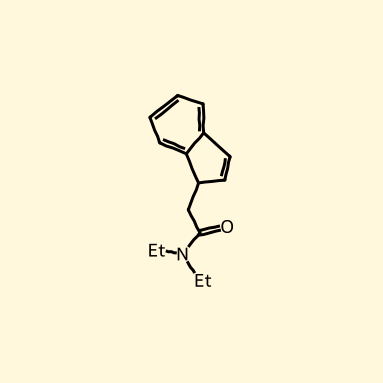 CCN(CC)C(=O)CC1C=Cc2ccccc21